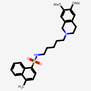 COc1cc2c(cc1OC)CN(CCCCCNS(=O)(=O)c1ccc(C)c3ccccc13)CC2